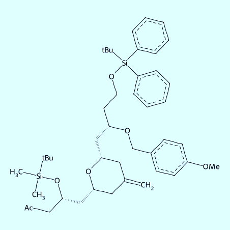 C=C1C[C@H](C[C@H](CC(C)=O)O[Si](C)(C)C(C)(C)C)O[C@H](C[C@H](CCO[Si](c2ccccc2)(c2ccccc2)C(C)(C)C)OCc2ccc(OC)cc2)C1